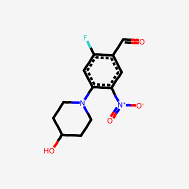 O=Cc1cc([N+](=O)[O-])c(N2CCC(O)CC2)cc1F